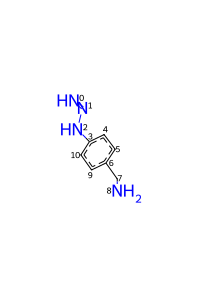 N=NNc1ccc(CN)cc1